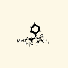 CON=C(C)N(c1ccccc1)S(C)(=O)=O